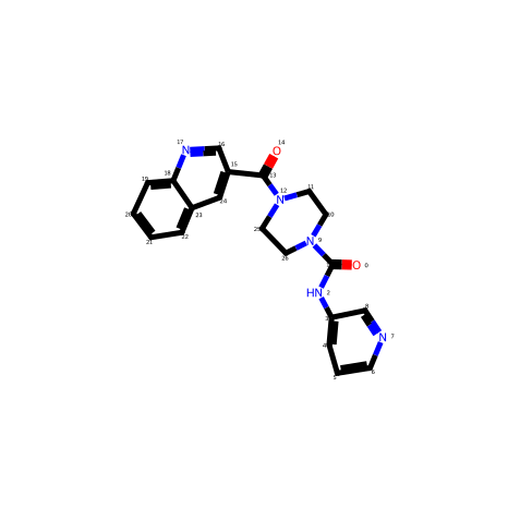 O=C(Nc1cccnc1)N1CCN(C(=O)c2cnc3ccccc3c2)CC1